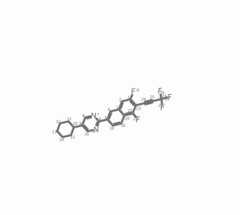 Fc1cc2cc(-c3ncc(C4CCCCC4)cn3)ccc2c(F)c1C#CC(F)(F)F